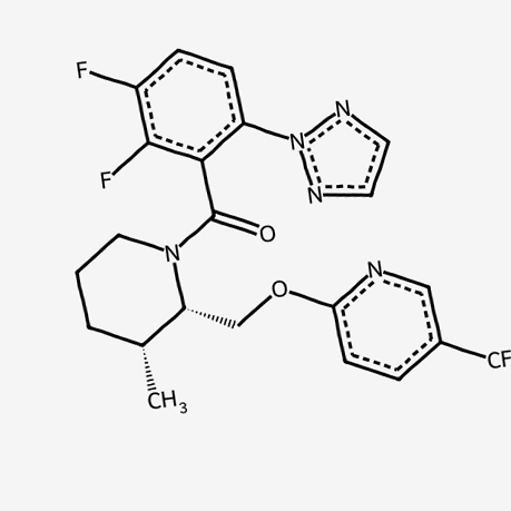 C[C@@H]1CCCN(C(=O)c2c(-n3nccn3)ccc(F)c2F)[C@@H]1COc1ccc(C(F)(F)F)cn1